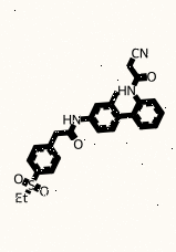 CCS(=O)(=O)c1ccc(CC(=O)Nc2ccc(-c3ccccc3NC(=O)CC#N)c(C)c2)cc1